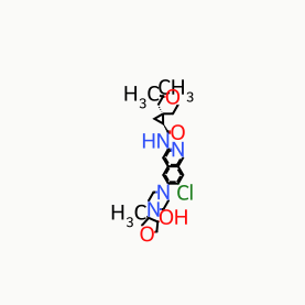 CC1(C)C[C@@]2(CCO1)C[C@@H]2C(=O)Nc1cc2cc(N3CCN([C@]4(C)COC[C@@H]4O)CC3)c(Cl)cc2cn1